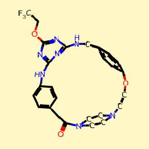 O=C1c2ccc(cc2)Nc2nc(nc(OCC(F)(F)F)n2)NCc2ccc(cc2)OCCN2CCN1CC2